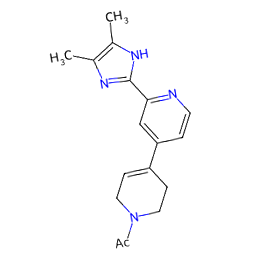 CC(=O)N1CC=C(c2ccnc(-c3nc(C)c(C)[nH]3)c2)CC1